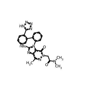 CCCCc1nc2c(C)nn(CC(=O)N(C)C)c(=O)c2n1-c1ccccc1-c1ccccc1-c1nnn[nH]1